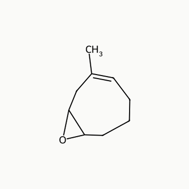 C/C1=C/CCCC2OC2C1